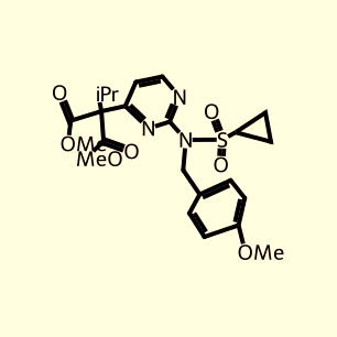 COC(=O)C(C(=O)OC)(c1ccnc(N(Cc2ccc(OC)cc2)S(=O)(=O)C2CC2)n1)C(C)C